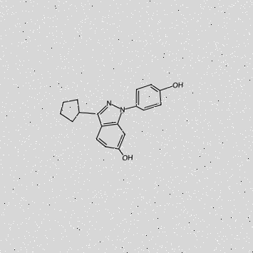 Oc1ccc(-n2nc(C3CCCC3)c3ccc(O)cc32)cc1